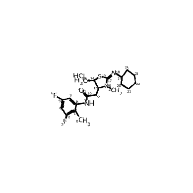 Cc1c(F)cc(F)cc1NC(=O)CC1C(C)SC(=NC2CCCCC2)N1C.Cl